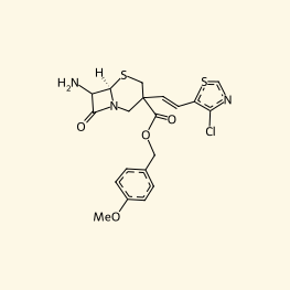 COc1ccc(COC(=O)C2(C=Cc3scnc3Cl)CS[C@@H]3C(N)C(=O)N3C2)cc1